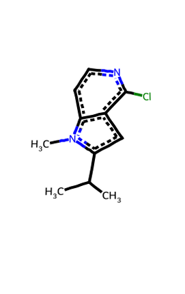 CC(C)c1cc2c(Cl)nccc2n1C